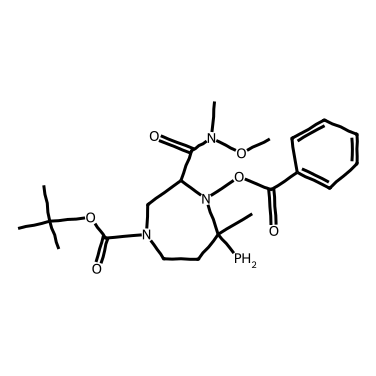 CON(C)C(=O)C1CN(C(=O)OC(C)(C)C)CCC(C)(P)N1OC(=O)c1ccccc1